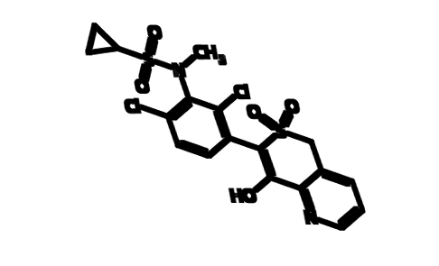 CN(c1c(Cl)ccc(C2=C(O)c3ncccc3CS2(=O)=O)c1Cl)S(=O)(=O)C1CC1